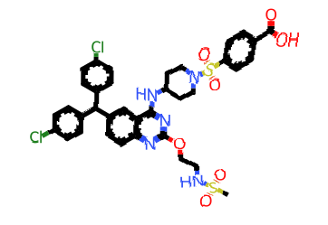 CS(=O)(=O)NCCOc1nc(NC2CCN(S(=O)(=O)c3ccc(C(=O)O)cc3)CC2)c2cc(C(c3ccc(Cl)cc3)c3ccc(Cl)cc3)ccc2n1